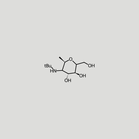 C[C@H]1OC(CO)[C@@H](O)[C@H](O)C1NC(C)(C)C